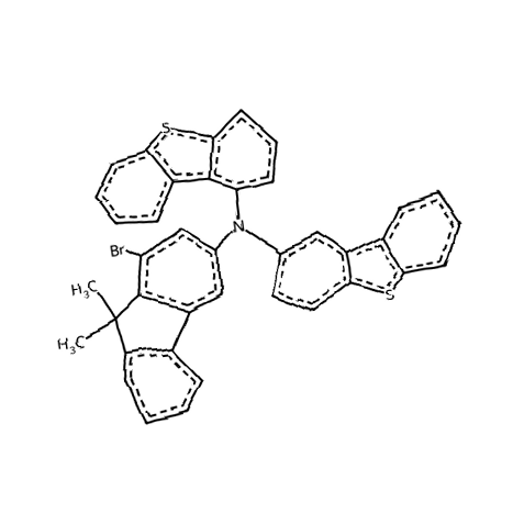 CC1(C)c2ccccc2-c2cc(N(c3ccc4sc5ccccc5c4c3)c3cccc4sc5ccccc5c34)cc(Br)c21